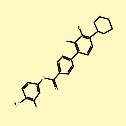 Cc1ccc(OC(=O)c2ccc(-c3ccc(C4CCCCC4)c(F)c3F)cc2)cc1F